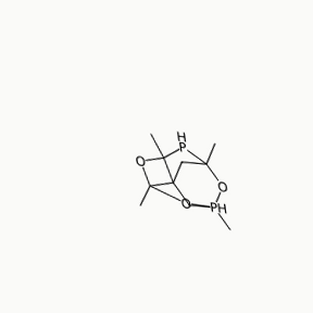 CC12CC34C[PH](C)(O1)OC3(C)OC4(C)P2